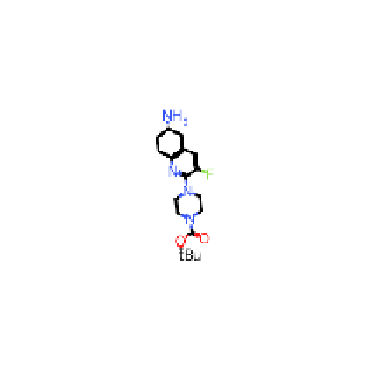 CC(C)(C)OC(=O)N1CCN(c2nc3c(cc2F)C[C@@H](N)CC3)CC1